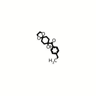 CCc1ccc(C(=O)C2(O)CCC3(CC2)OCCO3)cc1